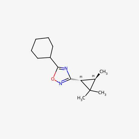 C[C@@H]1[C@@H](c2noc(C3CCCCC3)n2)C1(C)C